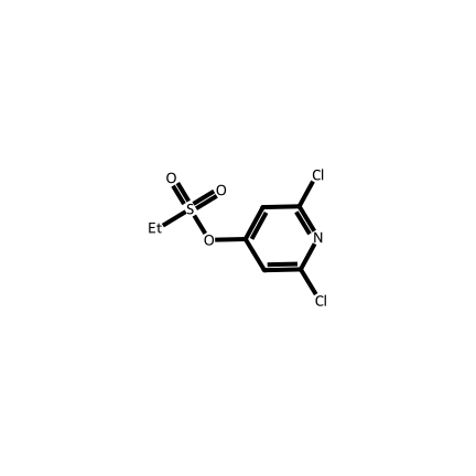 CCS(=O)(=O)Oc1cc(Cl)nc(Cl)c1